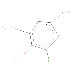 CCCc1cc(F)c(O)c([N+](=O)[O-])c1